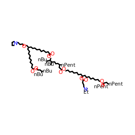 CCCCCC(CCCCC)CC(=O)OCCCCCCCCC(CCCCCCCCOC(=O)CC(CCCCC)CCCC(C)C(COC(=O)CCCCCCCCCC(CCCCCCCCCC(=O)OCCC(CCCC)CCCC)COCCCN1CCCC1)C(CCCC)CCCC)OC(=O)CCCN(C)CC